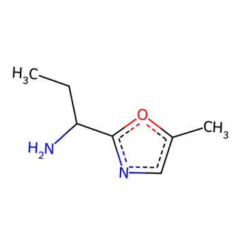 CCC(N)c1ncc(C)o1